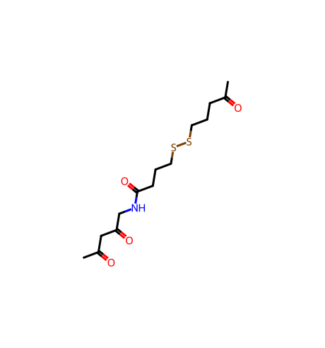 CC(=O)CCCSSCCCC(=O)NCC(=O)CC(C)=O